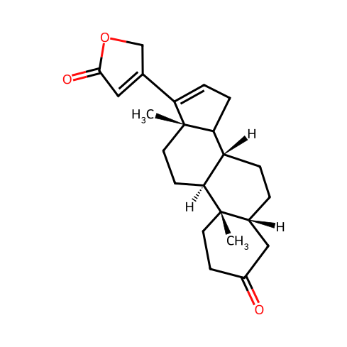 C[C@]12CCC(=O)C[C@H]1CC[C@H]1C3CC=C(C4=CC(=O)OC4)[C@@]3(C)CC[C@@H]12